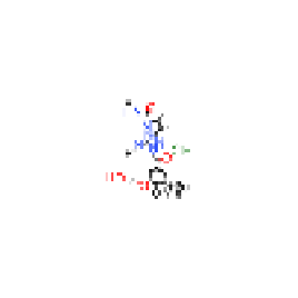 CCN=c1n(CC(=O)c2cc(OCCO)c(OC)c(C(C)(C)C)c2)nc2c(C)c(C)c(C(=O)NCC)nn12.Cl